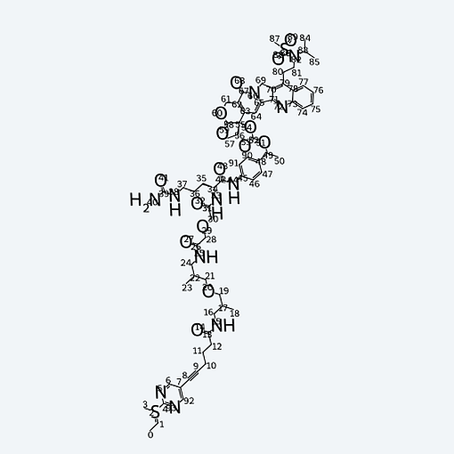 C/C=S(\C)c1ncc(C#CCCCC(=O)NCC(C)COCC(C)CNC(=O)COCC(=O)N[C@@H](CCCNC(N)=O)C(=O)Nc2ccc(C(C)OC(=O)O[C@]3(CC)C(=O)OCc4c3cc3n(c4=O)Cc4c-3nc3ccccc3c4CCN(C(C)C)S(C)(=O)=O)cc2)cn1